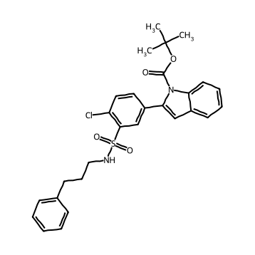 CC(C)(C)OC(=O)n1c(-c2ccc(Cl)c(S(=O)(=O)NCCCc3ccccc3)c2)cc2ccccc21